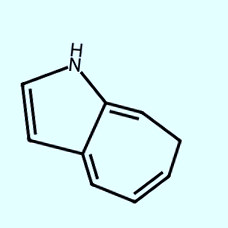 C1=CCC=c2[nH]ccc2=C1